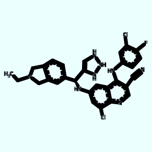 CCN1Cc2ccc([C@H](Nc3cc(Cl)c4ncc(C#N)c(Nc5ccc(F)c(Cl)c5)c4c3)C3=CNNN3)cc2C1